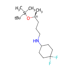 C[C@@H](CCCNC1CCC(F)(F)CC1)O[Si](C)(C)C(C)(C)C